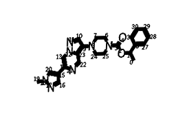 CC(OC(=O)N1CCN(c2cnn3cc(-c4cnn(C)c4)ncc23)CC1)c1ccccc1